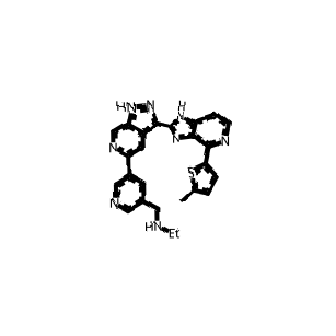 CCNCc1cncc(-c2cc3c(-c4nc5c(-c6ccc(C)s6)nccc5[nH]4)n[nH]c3cn2)c1